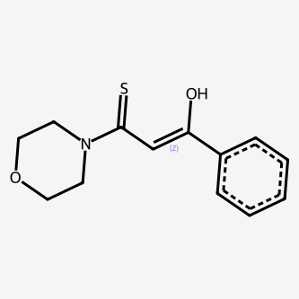 O/C(=C\C(=S)N1CCOCC1)c1ccccc1